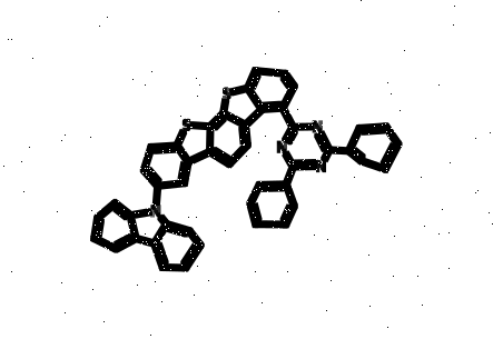 c1ccc(-c2nc(-c3ccccc3)nc(-c3cccc4sc5c(ccc6c7cc(-n8c9ccccc9c9ccccc98)ccc7sc65)c34)n2)cc1